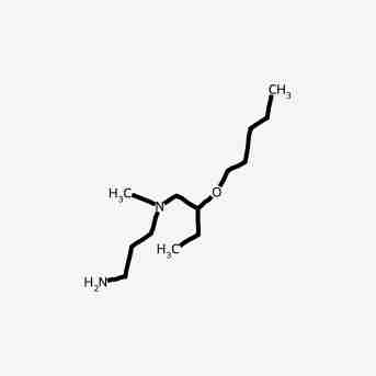 CCCCCOC(CC)CN(C)CCCN